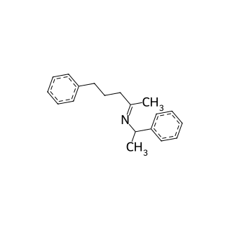 CC(CCCc1ccccc1)=NC(C)c1ccccc1